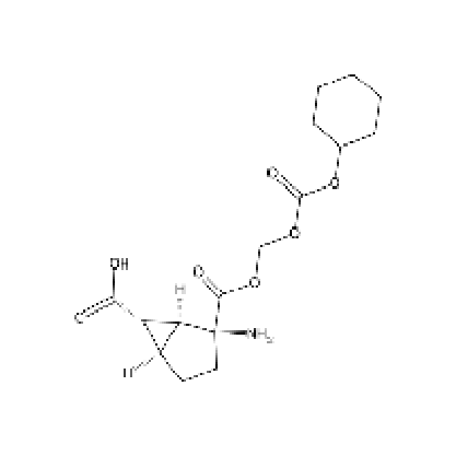 N[C@@]1(C(=O)OCOC(=O)OC2CCCCC2)CC[C@H]2[C@H](C(=O)O)[C@H]21